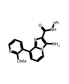 CCCNC(=O)c1nc2c(-c3cccnc3OC)cccn2c1N